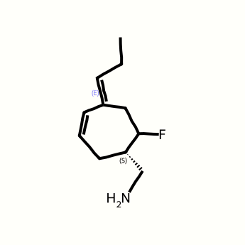 CC/C=C1/C=CC[C@@H](CN)C(F)C1